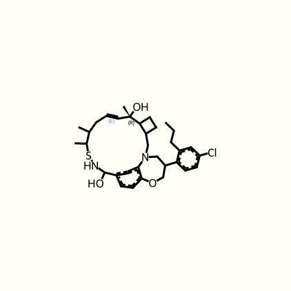 CCCc1cc(Cl)ccc1C1COc2ccc3cc2N(C1)CC1CCC1[C@@](C)(O)/C=C/CC(C)C(C)SNC3O